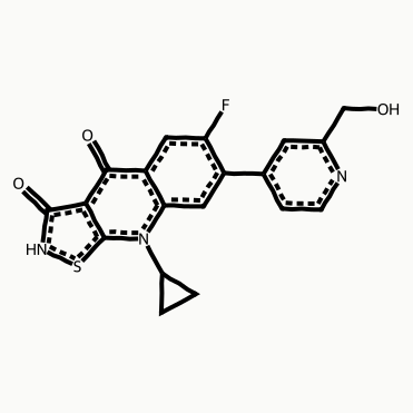 O=c1[nH]sc2c1c(=O)c1cc(F)c(-c3ccnc(CO)c3)cc1n2C1CC1